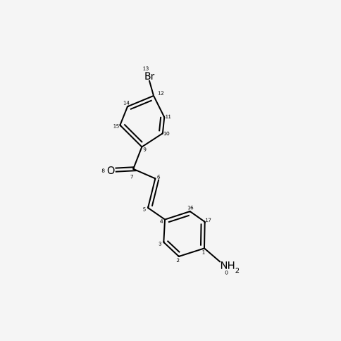 Nc1ccc(/C=C/C(=O)c2ccc(Br)cc2)cc1